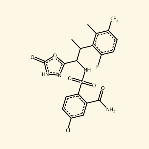 Cc1c(C(F)(F)F)ccc(F)c1C(C)C(NS(=O)(=O)c1ccc(Cl)cc1C(N)=O)c1n[nH]c(=O)o1